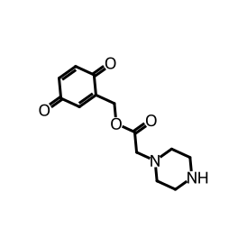 O=C1C=CC(=O)C(COC(=O)CN2CCNCC2)=C1